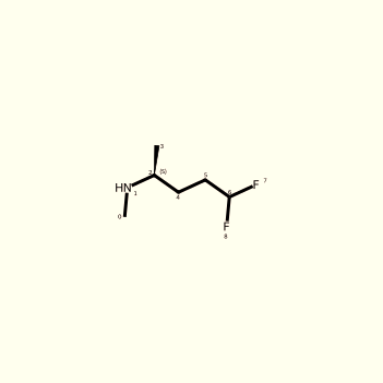 CN[C@@H](C)CCC(F)F